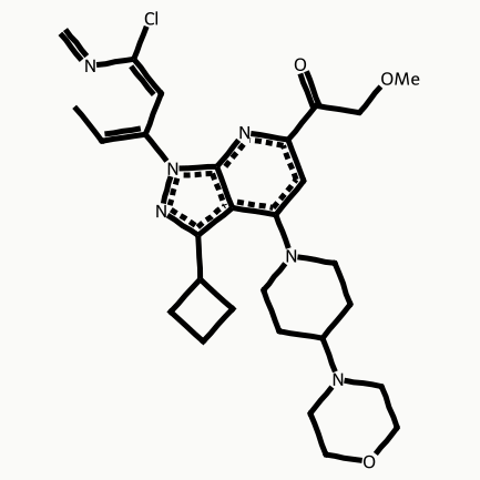 C=N/C(Cl)=C\C(=C/C)n1nc(C2CCC2)c2c(N3CCC(N4CCOCC4)CC3)cc(C(=O)COC)nc21